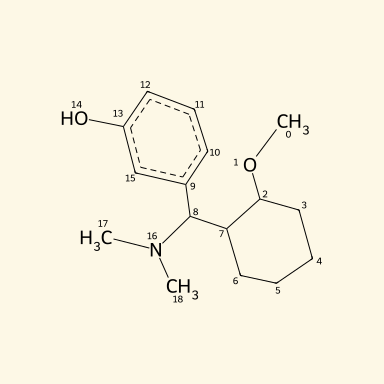 COC1CCCCC1C(c1cccc(O)c1)N(C)C